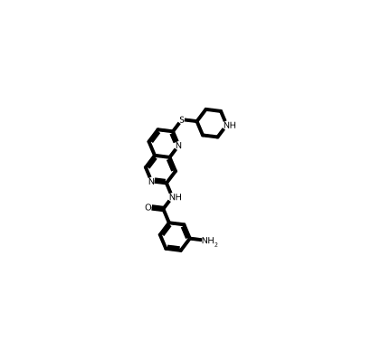 Nc1cccc(C(=O)Nc2cc3nc(SC4CCNCC4)ccc3cn2)c1